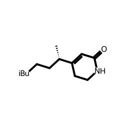 CCC(C)CC[C@H](C)C1=CC(=O)NCC1